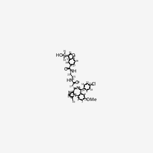 COc1ccc2c(c1)C(c1ccc(Cl)cc1)=N[C@@H](CC(=O)NCCNC(=O)c1ccc3occ([Si](C)(C)O)c3c1)c1nnc(C)n1-2